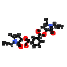 CC(C)CN1C(=O)[C@@H](OC(=O)c2cccc(C(=O)O[C@H]3CC(C)N(CC(C)C)C3=O)c2)CC1C